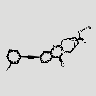 CC(C)(C)OC(=O)N1C2CCC1Cn1c(nc3cc(C#Cc4cccc(F)c4)ccc3c1=O)C2